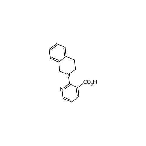 O=C(O)c1cccnc1N1CCc2ccccc2C1